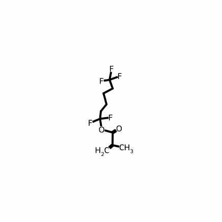 C=C(C)C(=O)OC(F)(F)CCCCC(F)(F)F